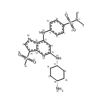 CN(C)S(=O)(=O)c1ccc(Nc2cc(N[C@H]3CC[C@@H](N)CC3)nc3c(S(C)(=O)=O)cnn23)cc1